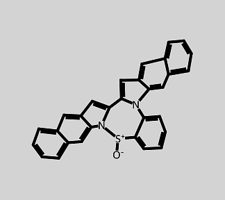 [O-][s+]1c2ccccc2n2c3cc4ccccc4cc3cc2c2cc3cc4ccccc4cc3n21